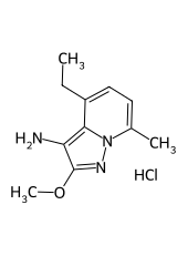 CCc1ccc(C)n2nc(OC)c(N)c12.Cl